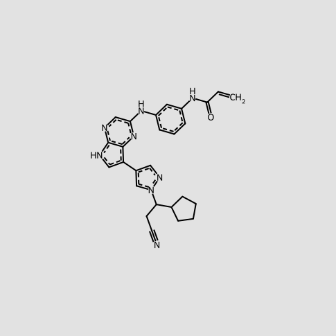 C=CC(=O)Nc1cccc(Nc2cnc3[nH]cc(-c4cnn(C(CC#N)C5CCCC5)c4)c3n2)c1